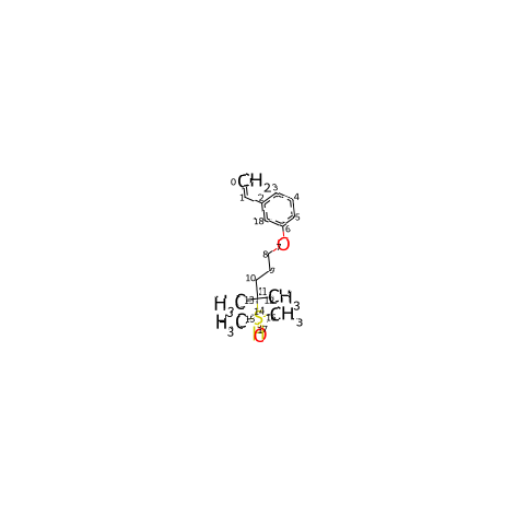 C=Cc1cccc(OCCCC(C)(C)[SH](C)(C)=O)c1